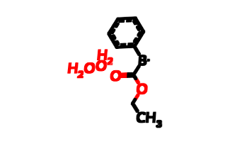 CCOC(=O)[B]c1ccccc1.O.O